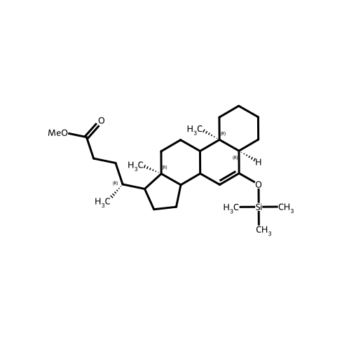 COC(=O)CC[C@@H](C)C1CCC2C3C=C(O[Si](C)(C)C)[C@@H]4CCCC[C@]4(C)C3CC[C@@]21C